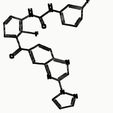 O=C(Nc1cccc(F)c1)Nc1cccc(C(=O)c2ccc3ncc(-n4cccn4)nc3c2)c1F